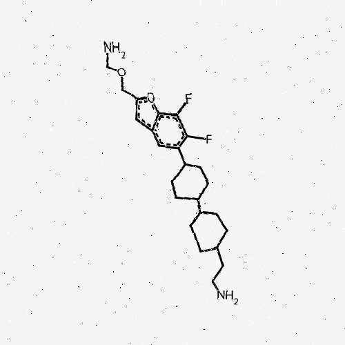 NCCC1CCC(C2CCC(c3cc4cc(COCN)oc4c(F)c3F)CC2)CC1